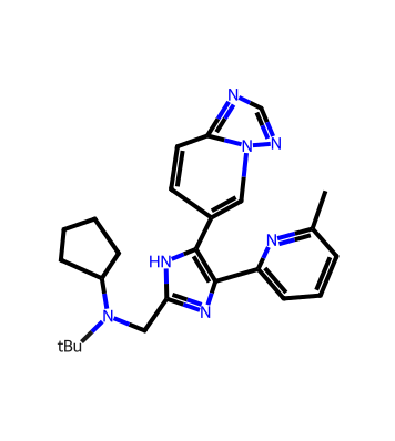 Cc1cccc(-c2nc(CN(C3CCCC3)C(C)(C)C)[nH]c2-c2ccc3ncnn3c2)n1